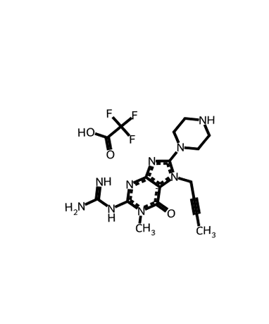 CC#CCn1c(N2CCNCC2)nc2nc(NC(=N)N)n(C)c(=O)c21.O=C(O)C(F)(F)F